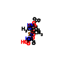 CC(=O)OC(CC(C(C)C)N(C)C(=O)CNC(=O)OCC1c2ccccc2-c2ccccc21)c1nc(C(=O)NC(Cc2ccccc2)CC(C)C(=O)O)cs1